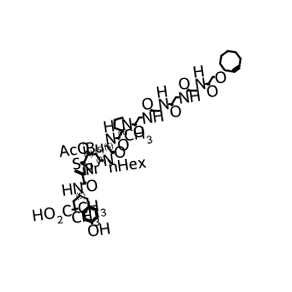 CCCCCCN(C(=O)[C@@H](NC(=O)[C@@]1(C)CCCN1C(=O)CNC(=O)CNC(=O)CNC(=O)CNC(=O)COC1C#CCCCCC1)[C@@H](C)CC)[C@H](C[C@@H](OC(C)=O)c1nc(C(=O)N[C@@H](Cc2ccc(O)cc2)CC(C)(C)C(=O)O)cs1)C(C)C